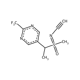 C#CN=S(C)(=O)C(C)c1cnc(C(F)(F)F)nc1